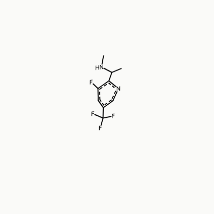 CNC(C)c1ncc(C(F)(F)F)cc1F